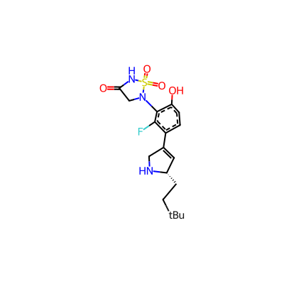 CC(C)(C)CC[C@H]1C=C(c2ccc(O)c(N3CC(=O)NS3(=O)=O)c2F)CN1